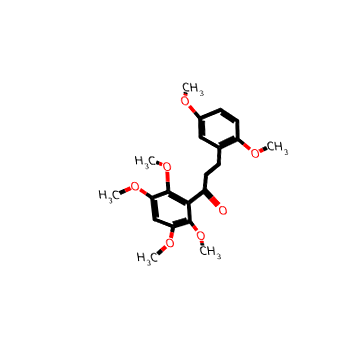 COc1ccc(OC)c(CCC(=O)c2c(OC)c(OC)cc(OC)c2OC)c1